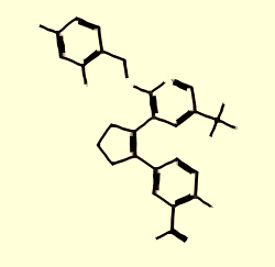 O=C(O)c1cc(C2=C(c3cc(C(F)(F)F)cnc3OCc3ccc(F)cc3Cl)CCC2)ccc1F